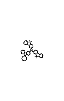 CC1(C)c2ccccc2-c2cc(N(c3ccc(C4(c5ccccc5)CCCCCC4)cc3)c3ccc4c(c3)C(C)(C)c3ccccc3-4)ccc21